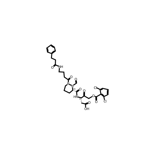 O=CN1[C@H](C(=O)N[C@@H](CC(=O)O)C(=O)COC(=O)c2c(Cl)cccc2Cl)CCCN1C(=O)CCCNC(=O)CCc1ccccc1